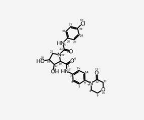 O=C(Nc1ccc(N2CCOCC2=O)cc1)C1C(O)C(O)CN1C(=O)Nc1ccc(Cl)cc1